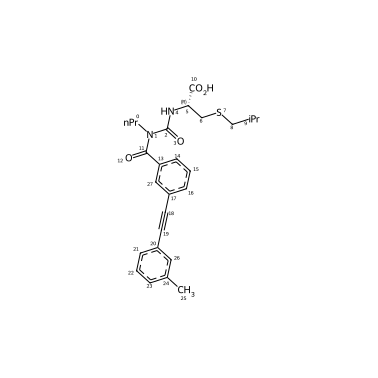 CCCN(C(=O)N[C@@H](CSCC(C)C)C(=O)O)C(=O)c1cccc(C#Cc2cccc(C)c2)c1